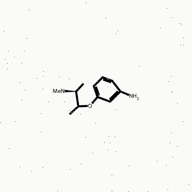 CN[C@@H](C)C(C)Oc1cccc(N)c1